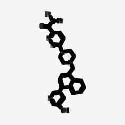 CCN(CC)C(=O)c1ccc(N2CCN(Cc3ccc(-c4cncc(O)c4)c4ccccc34)CC2)nn1